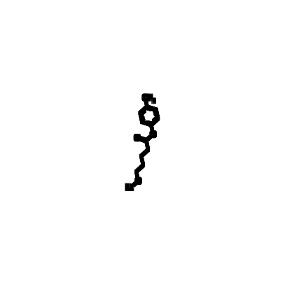 CCOCCCCC(=O)Oc1ccc(C)cc1